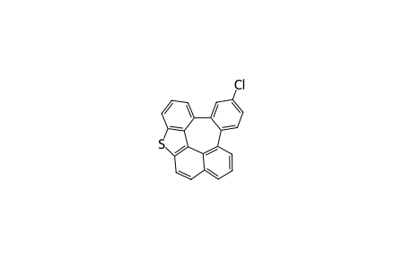 Clc1ccc2c(c1)-c1cccc3sc4ccc5cccc-2c5c4c13